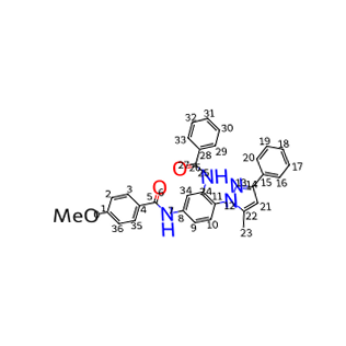 COc1ccc(C(=O)Nc2ccc(-n3nc(-c4ccccc4)cc3C)c(NC(=O)c3ccccc3)c2)cc1